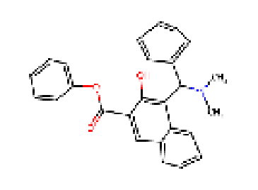 CN(C)C(c1ccccc1)c1c(O)c(C(=O)Oc2ccccc2)cc2ccccc12